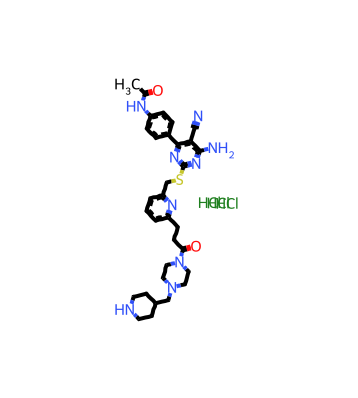 CC(=O)Nc1ccc(-c2nc(SCc3cccc(CCC(=O)N4CCN(CC5CCNCC5)CC4)n3)nc(N)c2C#N)cc1.Cl.Cl.Cl